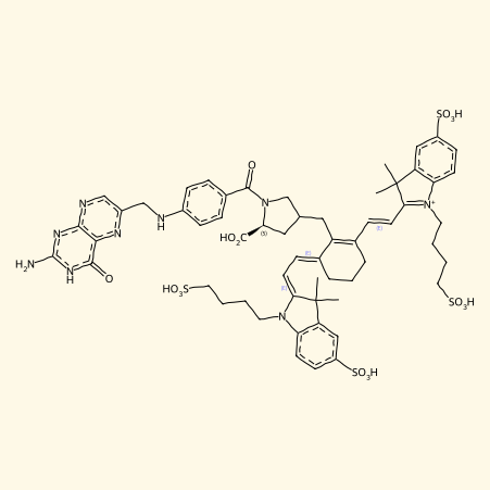 CC1(C)C(/C=C/C2=C(CC3C[C@@H](C(=O)O)N(C(=O)c4ccc(NCc5cnc6nc(N)[nH]c(=O)c6n5)cc4)C3)C(=C/C=C3/N(CCCCS(=O)(=O)O)c4ccc(S(=O)(=O)O)cc4C3(C)C)/CCC2)=[N+](CCCCS(=O)(=O)O)c2ccc(S(=O)(=O)O)cc21